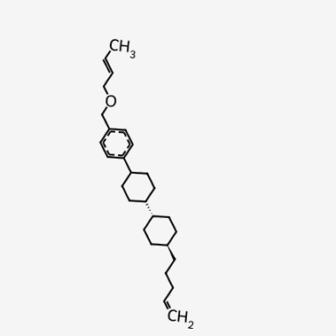 C=CCCC[C@H]1CC[C@H](C2CCC(c3ccc(COCC=CC)cc3)CC2)CC1